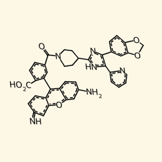 N=c1ccc2c(-c3cc(C(=O)N4CCC(c5nc(-c6ccc7c(c6)OCO7)c(-c6ccccn6)[nH]5)CC4)ccc3C(=O)O)c3ccc(N)cc3oc-2c1